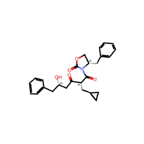 O=C(C[C@@H](O)Cc1ccccc1)[C@@H](CC1CC1)C(=O)N1C(=O)OC[C@@H]1Cc1ccccc1